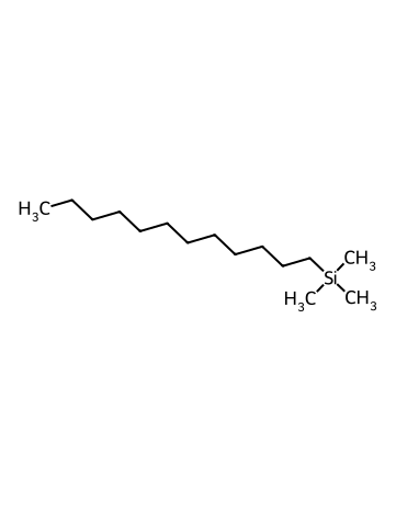 CCCCCCCCCCCC[Si](C)(C)C